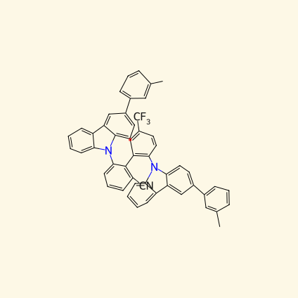 Cc1cccc(-c2ccc3c(c2)c2ccccc2n3-c2ccc(C(F)(F)F)cc2-c2c(C#N)cccc2-n2c3ccccc3c3cc(-c4cccc(C)c4)ccc32)c1